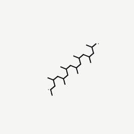 [CH2]C(C)CC(C)CC(C)CC(C)CC(C)CC(C)CC(C)C[CH]C